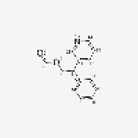 O=COCC(c1ccccc1)c1cccnc1